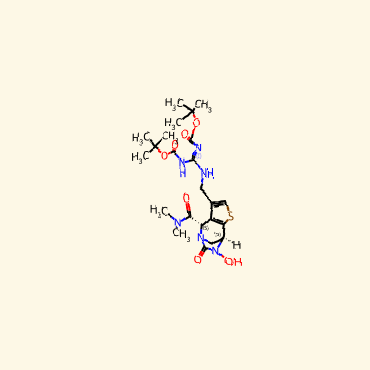 CN(C)C(=O)[C@@H]1c2c(CN/C(=N/C(=O)OC(C)(C)C)NC(=O)OC(C)(C)C)csc2[C@@H]2CN1C(=O)N2O